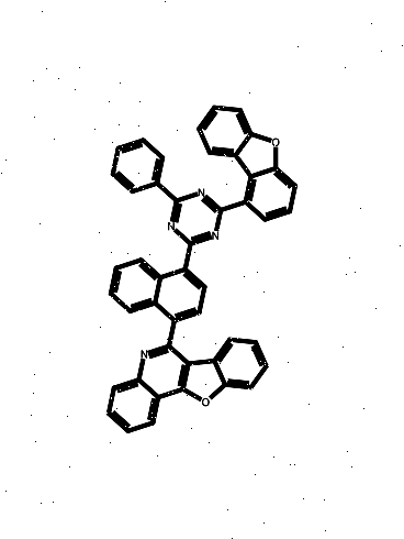 c1ccc(-c2nc(-c3ccc(-c4nc5ccccc5c5oc6ccccc6c45)c4ccccc34)nc(-c3cccc4oc5ccccc5c34)n2)cc1